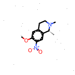 COc1cc2c(cc1[N+](=O)[O-])[C@@H](C)N(C)CC2